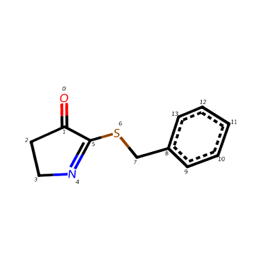 O=C1CCN=C1SCc1ccccc1